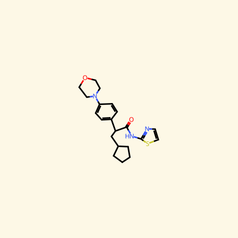 O=C(Nc1nccs1)C(CC1CCCC1)c1ccc(N2CCOCC2)cc1